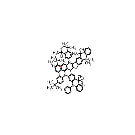 Cc1cc2c3c(c1)N(c1ccc(C(C)(C)C)cc1-c1ccc(C(C)(C)C)cc1)c1cc4c(cc1C3C1=C(c3cc5c(cc3C1)C(C)(C)c1ccccc1C5(C)C)N2c1ccc2c(c1)C(C)(C)CCC2(C)C)C(C)(C)c1ccccc1N4c1ccccc1